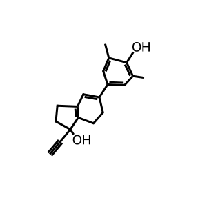 C#CC1(O)CCC2=C1CCC(c1cc(C)c(O)c(C)c1)=C2